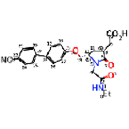 CCNC(=O)CN1C(=O)[C@H](CC(=O)O)C[C@H]1COc1ccc(-c2ccc(C#N)cc2)cc1